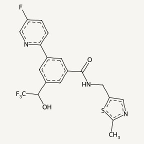 Cc1ncc(CNC(=O)c2cc(-c3ccc(F)cn3)cc(C(O)C(F)(F)F)c2)s1